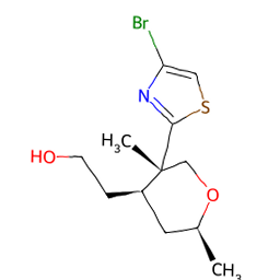 C[C@H]1C[C@@H](CCO)[C@](C)(c2nc(Br)cs2)CO1